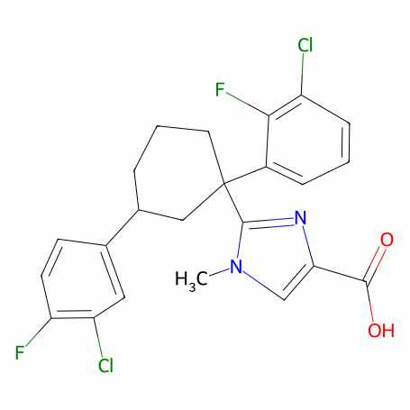 Cn1cc(C(=O)O)nc1C1(c2cccc(Cl)c2F)CCCC(c2ccc(F)c(Cl)c2)C1